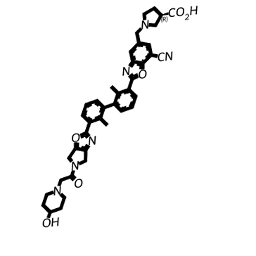 Cc1c(-c2nc3c(o2)CN(C(=O)CN2CCC(O)CC2)C3)cccc1-c1cccc(-c2nc3cc(CN4CC[C@@H](C(=O)O)C4)cc(C#N)c3o2)c1C